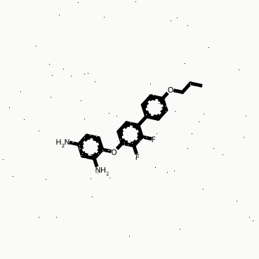 CCCOc1ccc(-c2ccc(Oc3ccc(N)cc3N)c(F)c2F)cc1